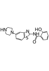 O=C(Nc1nc2cc(N3CCNCC3)ccc2s1)c1ccccc1O